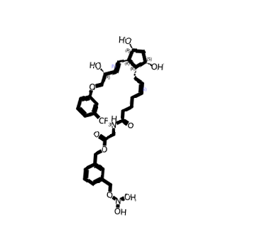 O=C(CCC/C=C\C[C@@H]1[C@@H](/C=C/[C@@H](O)COc2cccc(C(F)(F)F)c2)[C@H](O)C[C@@H]1O)NCC(=O)OCc1cccc(CON(O)O)c1